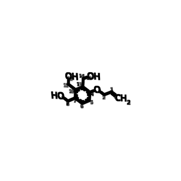 C=CCOc1ccc(CO)c(CO)c1CO